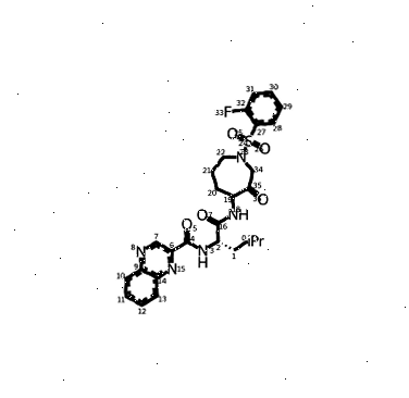 CC(C)C[C@H](NC(=O)c1cnc2ccccc2n1)C(=O)NC1CCCN(S(=O)(=O)c2ccccc2F)CC1=O